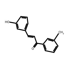 Cc1cccc(C(=O)/C=C/c2cccc(O)c2)c1